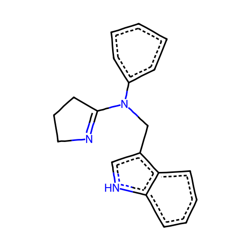 c1ccc(N(Cc2c[nH]c3ccccc23)C2=NCCC2)cc1